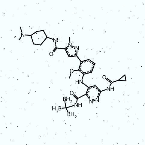 BC(B)(B)NC(=O)c1nnc(NC(=O)C2CC2)cc1Nc1cccc(-c2cc(C(=O)NC3CCC(N(C)C)CC3)n(C)n2)c1OC